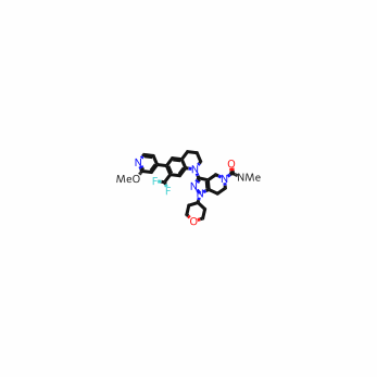 CNC(=O)N1CCc2c(c(N3CCCc4cc(-c5ccnc(OC)c5)c(C(F)F)cc43)nn2C2CCOCC2)C1